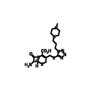 CN1CCN(CCCn2nnnc2SCC2=C(C(=O)O)N3C(=O)C(N)[C@H]3SC2)CC1